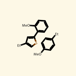 CCc1ccc(OC)cc1.CCc1csc(-c2ccccc2OC)c1